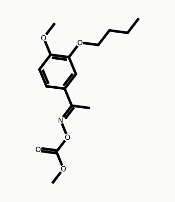 CCCCOc1cc(/C(C)=N/OC(=O)OC)ccc1OC